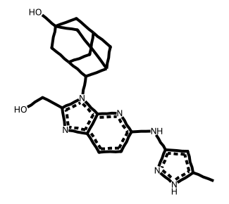 Cc1cc(Nc2ccc3nc(CO)n(C4C5CC6CC4CC(O)(C6)C5)c3n2)n[nH]1